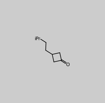 CC(C)CCC1CC(=O)C1